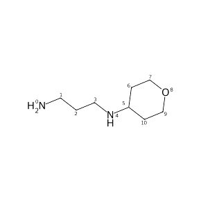 NCCCNC1CCOCC1